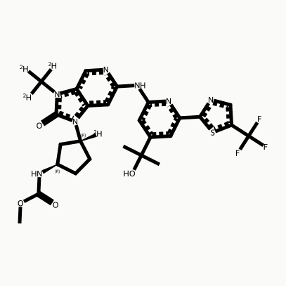 [2H]C([2H])([2H])n1c(=O)n([C@]2([2H])CC[C@@H](NC(=O)OC)C2)c2cc(Nc3cc(C(C)(C)O)cc(-c4ncc(C(F)(F)F)s4)n3)ncc21